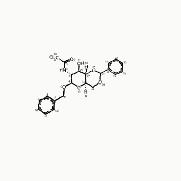 O=C(N[C@H]1[C@H](OCc2ccccc2)O[C@@H]2COC(c3ccccc3)O[C@H]2[C@@H]1O)C(Cl)(Cl)Cl